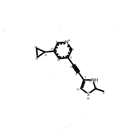 CC1NC(C#Cc2cncc(C3CC3)c2)=CS1